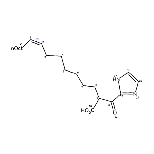 CCCCCCCC/C=C\CCCCCCC(C(=O)O)C(=O)c1ncc[nH]1